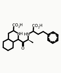 C[C@H](NC(CCc1ccccc1)C(=O)O)C(=O)C1NC(C(=O)O)CC2CCCCC21